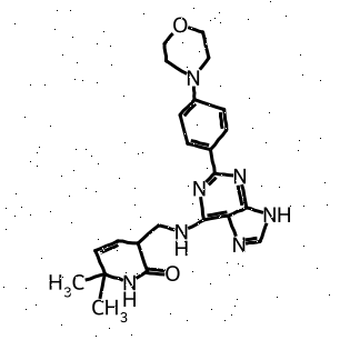 CC1(C)C=CC(CNc2nc(-c3ccc(N4CCOCC4)cc3)nc3[nH]cnc23)C(=O)N1